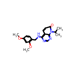 COc1ccc(CNc2ncnc3c2ccc(=O)n3C(C)C)c(OC)c1